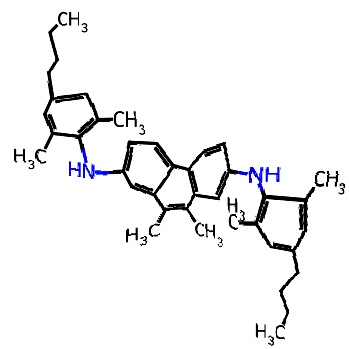 CCCCc1cc(C)c(Nc2ccc3c(c2)c(C)c(C)c2cc(Nc4c(C)cc(CCCC)cc4C)ccc23)c(C)c1